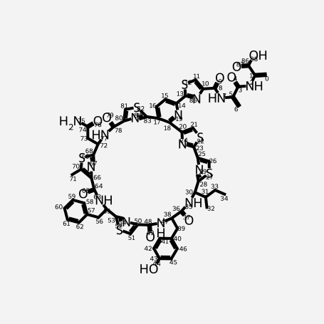 C=C(NC(=O)C(=C)NC(=O)c1csc(-c2ccc3c(n2)-c2csc(n2)-c2csc(n2)C(C(C)CC)NC(=O)C(Cc2ccc(O)cc2)NC(=O)c2csc(n2)C(Cc2ccccc2)NC(=O)c2nc(sc2C)C(CC(N)=O)NC(=O)c2csc-3n2)n1)C(=O)O